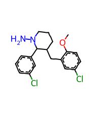 COc1ccc(Cl)cc1CC1CCCN(N)C1c1cccc(Cl)c1